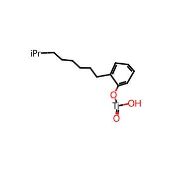 CC(C)CCCCCCc1ccccc1[O][Ti](=[O])[OH]